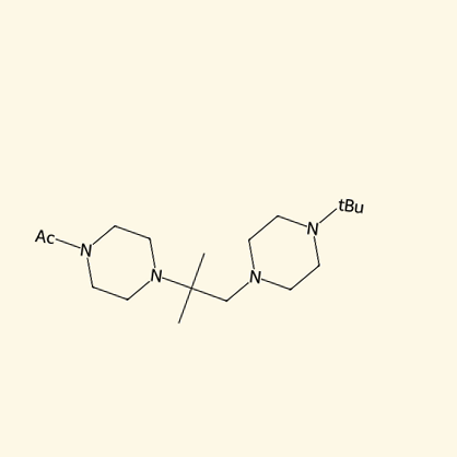 CC(=O)N1CCN(C(C)(C)CN2CCN(C(C)(C)C)CC2)CC1